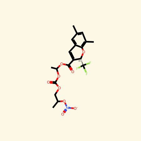 Cc1cc(C)c2c(c1)C=C(C(=O)OC(C)OC(=O)OCC(C)O[N+](=O)[O-])[C@@H](C(F)(F)F)O2